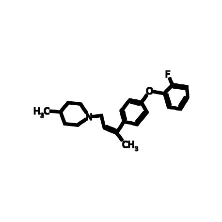 CC(=CCN1CCC(C)CC1)c1ccc(Oc2ccccc2F)cc1